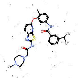 CCC(C#N)c1cccc(C(=O)Nc2ccc(C)c(Oc3ccc4nc(NC(=O)CN5CCN(CC)CC5)sc4n3)c2)c1